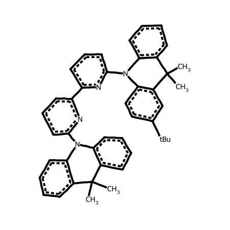 CC(C)(C)c1ccc2c(c1)C(C)(C)c1ccccc1N2c1cccc(-c2cccc(N3c4ccccc4C(C)(C)c4ccccc43)n2)n1